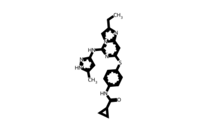 CCc1cn2c(Nc3cc(C)[nH]n3)nc(Sc3ccc(NC(=O)C4CC4)cc3)cc2n1